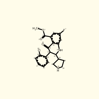 COC(=O)c1cc(F)cc2c1C(=O)C(c1ccccc1Cl)C(C1CCNC1)N2